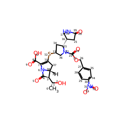 C[C@@H](O)[C@H]1C(=O)N2C(C(=O)O)=C(S[C@H]3C[C@H](C4CNC(=O)C4)N(C(=O)OCc4ccc([N+](=O)[O-])cc4)C3)C[C@H]12